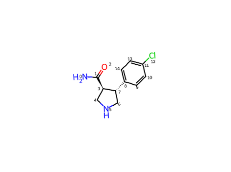 NC(=O)[C@@H]1CNC[C@H]1c1ccc(Cl)cc1